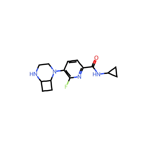 O=C(NC1CC1)c1ccc(N2CCNC3CCC32)c(F)n1